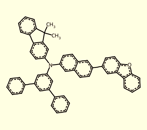 CC1(C)c2ccccc2-c2ccc(N(c3cc(-c4ccccc4)cc(-c4ccccc4)c3)c3ccc4cc(-c5ccc6oc7ccccc7c6c5)ccc4c3)cc21